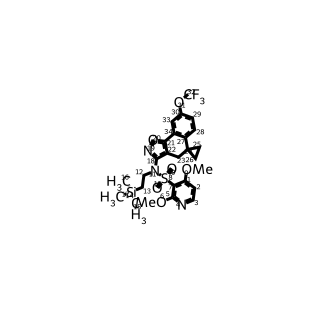 COc1ccnc(OC)c1S(=O)(=O)N(CC[Si](C)(C)C)c1noc2c1CC1(CC1)c1ccc(OC(F)(F)F)cc1-2